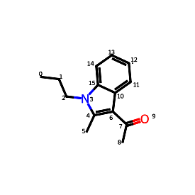 CCCn1c(C)c(C(C)=O)c2c[c]ccc21